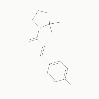 CC1(C)OCCN1C(=O)C=Cc1ccc(F)cc1